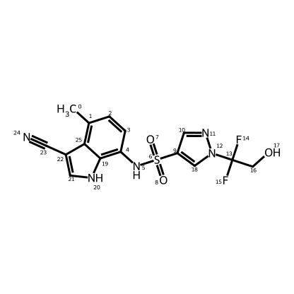 Cc1ccc(NS(=O)(=O)c2cnn(C(F)(F)CO)c2)c2[nH]cc(C#N)c12